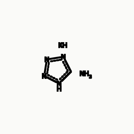 N.[KH].c1nnn[nH]1